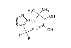 CC(C)(C)C(O)C(=O)O.FC(F)(F)c1nncs1